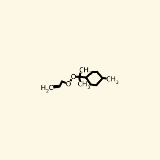 C=CCOOC(C)(C)C1CCC(C)CC1